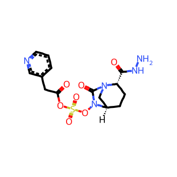 NNC(=O)[C@@H]1CC[C@@H]2CN1C(=O)N2OS(=O)(=O)OC(=O)Cc1cccnc1